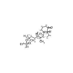 CC[Si](CC)(CC)OC(C)(C)CC[C@H](F)[C@@H](C)[C@H]1CC[C@H]2C(=O)CCC[C@]12C